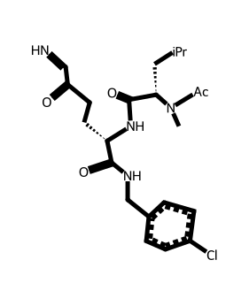 CC(=O)N(C)[C@@H](CC(C)C)C(=O)N[C@@H](CCC(=O)C=N)C(=O)NCc1ccc(Cl)cc1